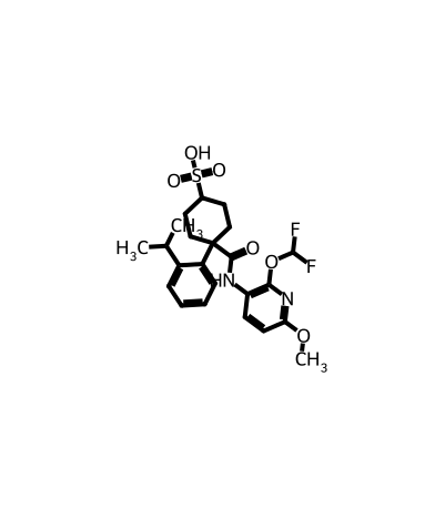 COc1ccc(NC(=O)C2(c3ccccc3C(C)C)CCC(S(=O)(=O)O)CC2)c(OC(F)F)n1